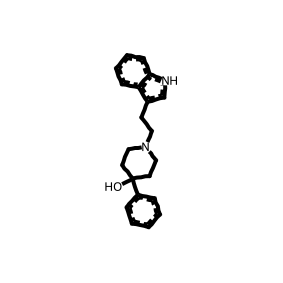 OC1(c2ccccc2)CCN(CCc2c[nH]c3ccccc23)CC1